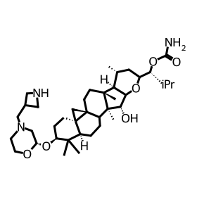 CC(C)[C@@H](OC(N)=O)C1C[C@@H](C)[C@H]2C(O1)[C@H](O)[C@@]1(C)C3CC[C@H]4C(C)(C)[C@@H](O[C@H]5CN(CC6CNC6)CCO5)CC[C@@]45C[C@@]35CC[C@]21C